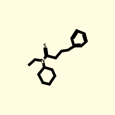 CCN(C(=S)CCCc1ccccc1)C1CCCCC1